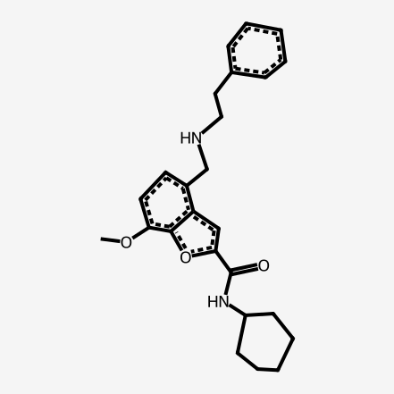 COc1ccc(CNCCc2ccccc2)c2cc(C(=O)NC3CCCCC3)oc12